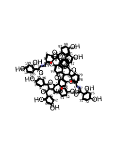 O=C(/C=C/c1ccc2c(c1)C(C(c1ccc(O)cc1O)c1cc(C(c3cc(C4OC(c5ccc(O)cc5)C(C(=O)c5ccc(O)cc5O)C4Cc4ccc(O)cc4)c(O)cc3O)C3c4cc(/C=C/C(=O)c5ccc(O)cc5O)ccc4OC3c3ccc(O)cc3)c(O)cc1O)C(c1ccc(O)cc1)O2)c1ccc(O)cc1O